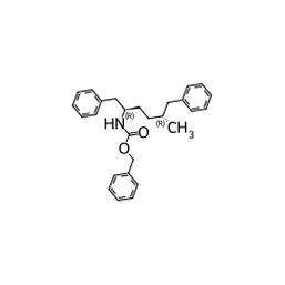 C[C@H](CC[C@H](Cc1ccccc1)NC(=O)OCc1ccccc1)Cc1ccccc1